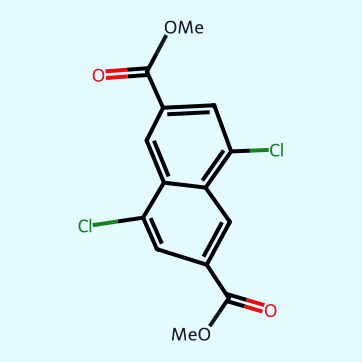 COC(=O)c1cc(Cl)c2cc(C(=O)OC)cc(Cl)c2c1